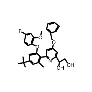 COc1cc(F)ccc1Oc1cc(C(C)(C)C)cc(C)c1-c1cc(OCc2ccccc2)cc(C(O)CO)n1